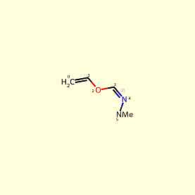 C=CO/C=N\NC